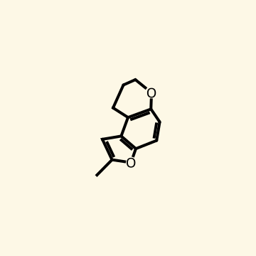 Cc1cc2c3c(ccc2o1)OCCC3